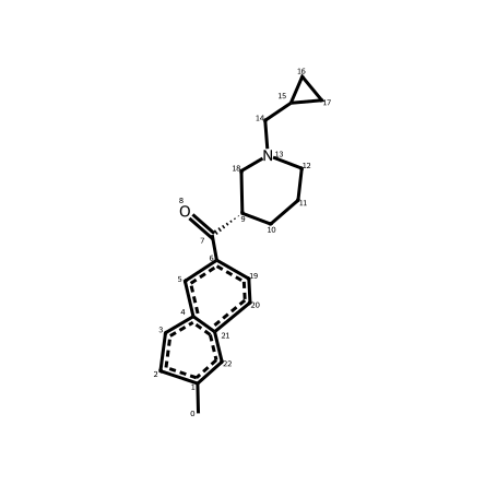 Cc1ccc2cc(C(=O)[C@H]3CCCN(CC4CC4)C3)ccc2c1